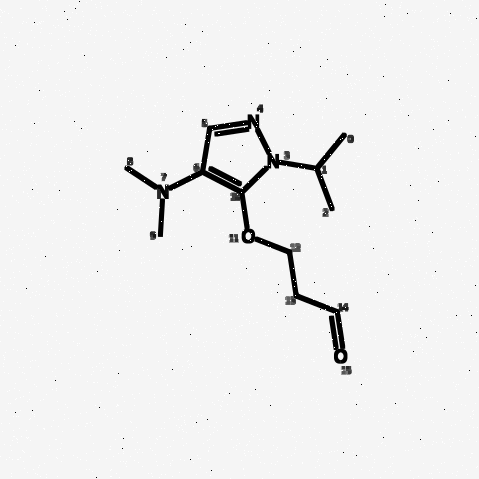 CC(C)n1ncc(N(C)C)c1OCCC=O